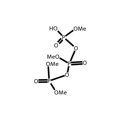 COP(=O)(O)OP(=O)(OC)OP(=O)(OC)OC